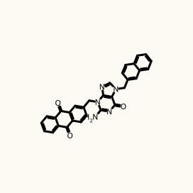 Nc1nc(=O)c2c(ncn2Cc2ccc3ccccc3c2)n1Cc1ccc2c(c1)C(=O)c1ccccc1C2=O